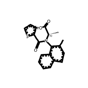 COC(=O)[C@H](C)N(C(=O)c1cccs1)c1c(C)ccc2ccccc12